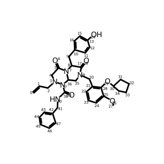 C=CCN1CC(=O)N2C(Cc3ccc(O)cc3)C(=O)N(Cc3cccc(OC)c3OC3CCCC3)CC2N1C(=O)NCc1ccccc1